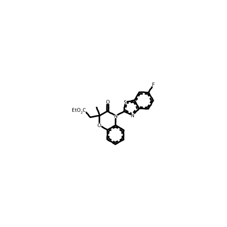 CCOC(=O)CC1(C)Oc2ccccc2N(c2nc3ccc(F)cc3s2)C1=O